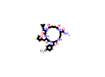 NC(=O)C1CCNC(=O)C(Cc2ccc([N+](=O)[O-])cc2)NC(=O)C(Cc2ccco2)NC(=O)C(CC2CC2)NC(=O)C=CC(=O)N1